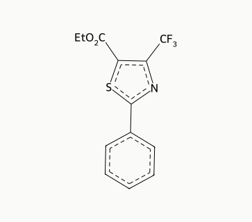 CCOC(=O)c1sc(-c2ccccc2)nc1C(F)(F)F